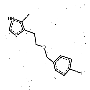 Cc1[nH]cnc1CCOCc1ccc(I)cc1